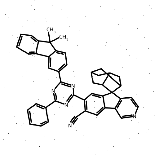 CC1(C)c2ccccc2-c2cc(-c3nc(-c4ccccc4)nc(-c4cc5c(cc4C#N)-c4cnccc4C54C5CC6CC(C5)C4C6)n3)ccc21